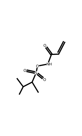 C=CC(=O)NOS(=O)(=O)C(C)C(C)C